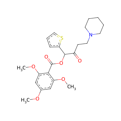 COc1cc(OC)c(C(=O)OC(C(=O)CCN2CCCCC2)c2cccs2)c(OC)c1